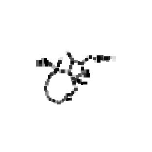 CCCC(C)CC1N[C@@H]2CCCCCCC(C)(CCC)C2C1C